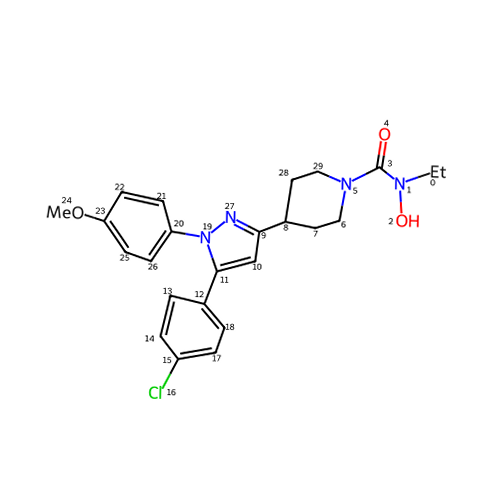 CCN(O)C(=O)N1CCC(c2cc(-c3ccc(Cl)cc3)n(-c3ccc(OC)cc3)n2)CC1